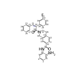 Nc1ccccc1NC(=O)c1ccc2c(c1)CN(C(=O)/C(=C\c1ccccc1)c1cccc(F)c1)CC2